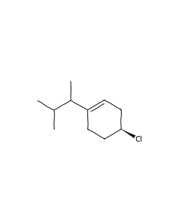 CC(C)C(C)C1=CC[C@@H](Cl)CC1